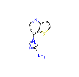 Nc1cn(-c2ccnc3ccsc23)cn1